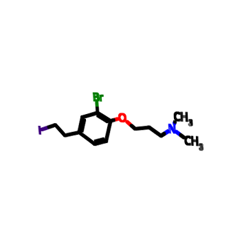 CN(C)CCCOc1ccc(CCI)cc1Br